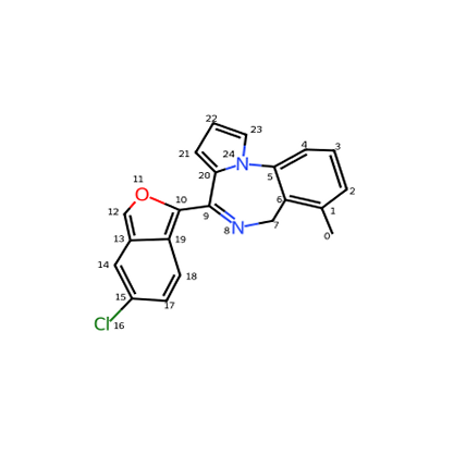 Cc1cccc2c1CN=C(c1occ3cc(Cl)ccc13)c1cccn1-2